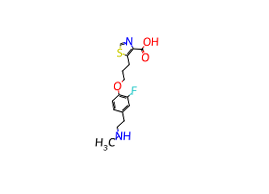 CNCCc1ccc(OCCCc2scnc2C(=O)O)c(F)c1